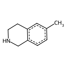 Cc1ccc2c(c1)CCNC2